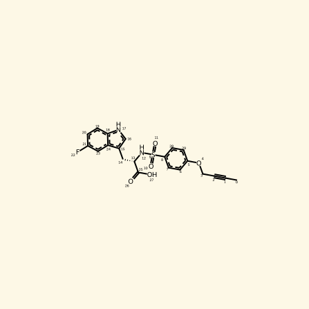 CC#CCOc1ccc(S(=O)(=O)N[C@@H](Cc2c[nH]c3ccc(F)cc23)C(=O)O)cc1